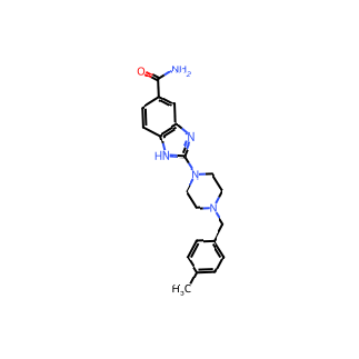 Cc1ccc(CN2CCN(c3nc4cc(C(N)=O)ccc4[nH]3)CC2)cc1